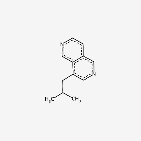 CC(C)Cc1cncc2ccncc12